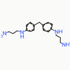 NCCCNc1ccc(Cc2ccc(NCCCN)cc2)cc1